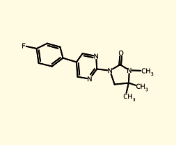 CN1C(=O)N(c2ncc(-c3ccc(F)cc3)cn2)CC1(C)C